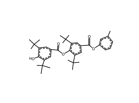 Cc1cccc(OC(=O)c2cc(C(C)(C)C)c(OC(=O)c3cc(C(C)(C)C)c(O)c(C(C)(C)C)c3)c(C(C)(C)C)c2)c1